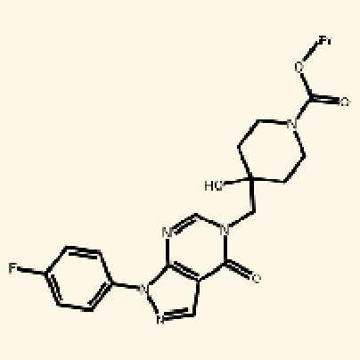 CC(C)OC(=O)N1CCC(O)(Cn2cnc3c(cnn3-c3ccc(F)cc3)c2=O)CC1